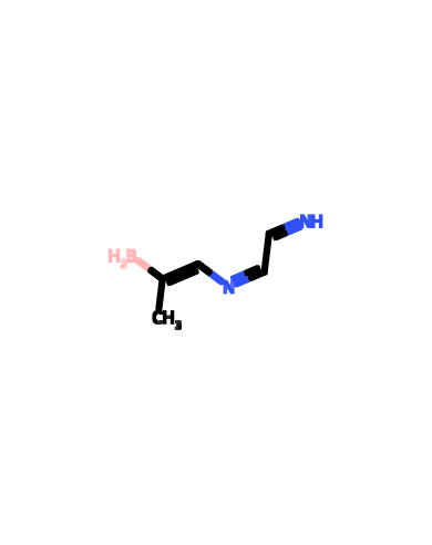 B/C(C)=C/N=C\C=N